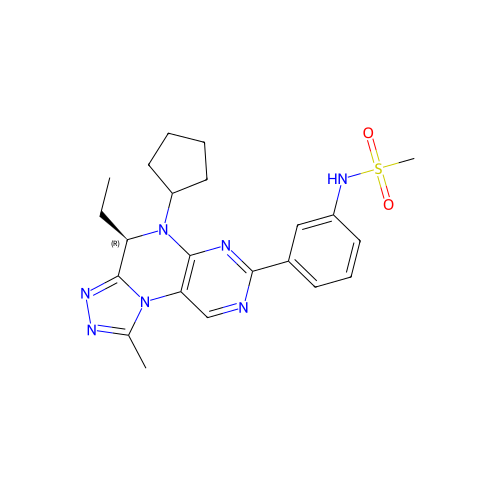 CC[C@@H]1c2nnc(C)n2-c2cnc(-c3cccc(NS(C)(=O)=O)c3)nc2N1C1CCCC1